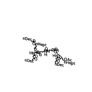 CCCCCCCCCCCC(=O)CC(=O)N[C@H](COCC[C@@H](CCCCCCC)OC(=O)CCCCCCCCCCC)CO[PH](=O)CCCNC(=O)NCCO[PH](=O)OC[C@@H](COCC[C@@H](CCCCCCC)OC(C)=O)NC(=O)CC(=O)CCCCCCCCCCC